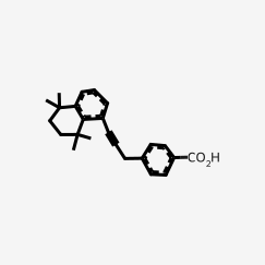 CC1(C)CCC(C)(C)c2c(C#CCc3ccc(C(=O)O)cc3)cccc21